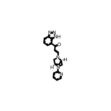 O=C(/C=C/N1C[C@H]2C[C@@H]1CN2c1ccccn1)c1cccc2nn[nH]c12